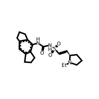 CCN1CCC[C@@H]1/C=C/S(=O)(=O)NC(=O)Nc1c2c(cc3c1CCC3)CCC2